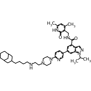 Cc1cc(C)c(CNC(=O)c2cc(-c3ccc(N4CCN(CCNCCCCC5CC6CCCC(C5)C6)CC4)nc3)cc3c2cnn3C(C)C)c(=O)[nH]1